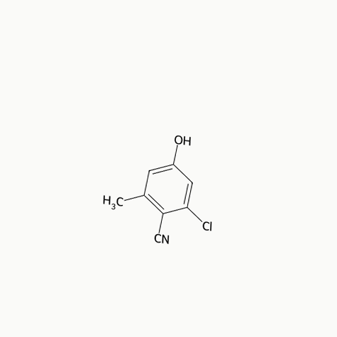 Cc1cc(O)cc(Cl)c1C#N